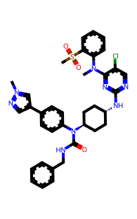 CN(c1ccccc1S(C)(=O)=O)c1nc(N[C@H]2CC[C@H](N(C(=O)NCc3ccccc3)c3ccc(-c4cnn(C)c4)cc3)CC2)ncc1Cl